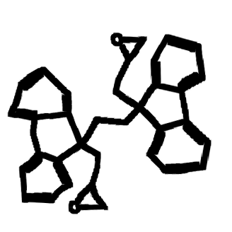 c1ccc2c(c1)-c1ccccc1C2(CCC1(CC2CO2)c2ccccc2-c2ccccc21)CC1CO1